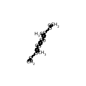 C=CC(=O)OCCCCOc1ccc(C(=O)Oc2ccc(OC(=O)c3ccc(OCCCCOC(=O)C=C)c(C)c3)cc2)cc1C